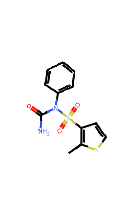 Cc1sccc1S(=O)(=O)N(C(N)=O)c1ccccc1